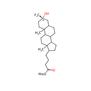 COC(=O)CCCC1CCC2C3CCC4C[C@](O)(C(F)(F)F)CCC4(C)C3CCC12C